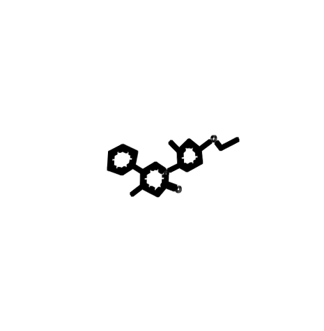 CCOc1ccc(-n2cc(-c3ccccc3)c(C)cc2=O)c(C)c1